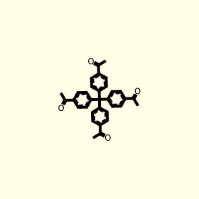 CC(=O)c1ccc(C(c2ccc(C(C)=O)cc2)(c2ccc(C(C)=O)cc2)c2ccc(C(C)=O)cc2)cc1